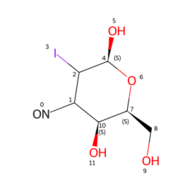 O=NC1C(I)[C@@H](O)O[C@@H](CO)[C@H]1O